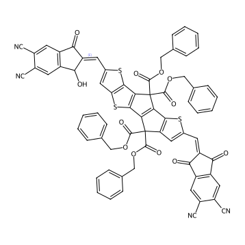 N#Cc1cc2c(cc1C#N)C(=O)C(=Cc1cc3c(s1)C1=C(c4sc5cc(/C=C6/C(=O)c7cc(C#N)c(C#N)cc7C6O)sc5c4C1(C(=O)OCc1ccccc1)C(=O)OCc1ccccc1)C3(C(=O)OCc1ccccc1)C(=O)OCc1ccccc1)C2=O